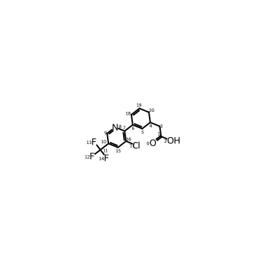 O=C(O)CC1C=C(c2ncc(C(F)(F)F)cc2Cl)C=CC1